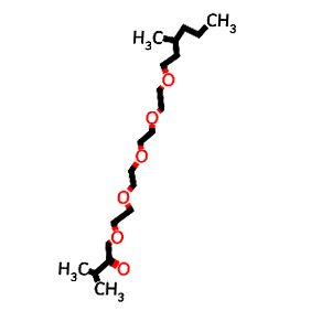 CCCC(C)CCOCCOCCOCCOCCOCC(=O)C(C)C